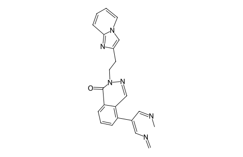 C=N/C=C(\C=N/C)c1cccc2c(=O)n(CCc3cn4ccccc4n3)ncc12